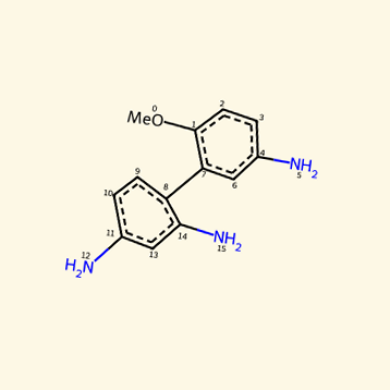 COc1ccc(N)cc1-c1ccc(N)cc1N